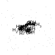 COC(=O)CCC(NC(=O)c1ccc(NCC2CNc3nc(N)[nH]c(=O)c3N2)cc1)C(=O)O.N[C@H]1C(O)O[C@H](CO)[C@@H](O)[C@@H]1O